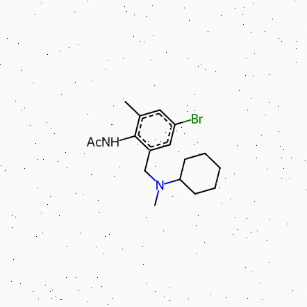 CC(=O)Nc1c(C)cc(Br)cc1CN(C)C1CCCCC1